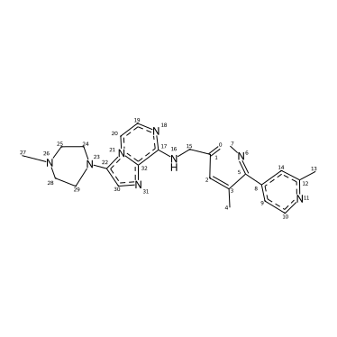 C=C(/C=C(C)\C(=N/C)c1ccnc(C)c1)CNc1nccn2c(N3CCN(C)CC3)cnc12